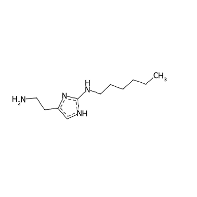 CCCCCCNc1nc(CCN)c[nH]1